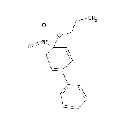 CCCOC1([N+](=O)[O-])C=CC(c2ccccc2)=CC1